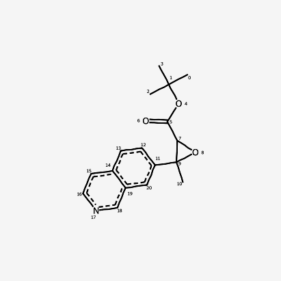 CC(C)(C)OC(=O)C1OC1(C)c1ccc2ccncc2c1